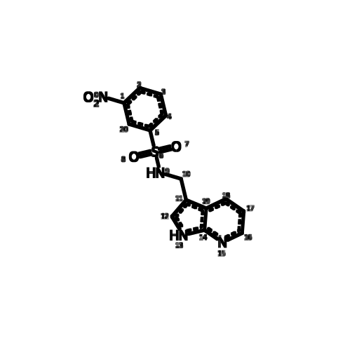 O=[N+]([O-])c1cccc(S(=O)(=O)NCc2c[nH]c3ncccc23)c1